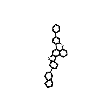 c1ccc(-c2ccc3c(c2)Sc2cccc4c2c-3cc2sc3cc(-c5ccc6ccccc6c5)ccc3c24)cc1